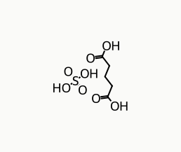 O=C(O)CCCC(=O)O.O=S(=O)(O)O